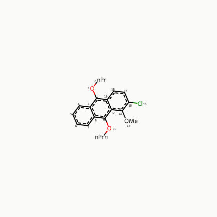 CCCOc1c2ccccc2c(OCCC)c2c(OC)c(Cl)ccc12